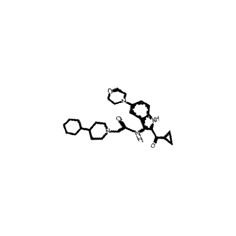 O=C(CN1CCC(C2CCCCC2)CC1)Nc1c(C(=O)C2CC2)[nH]c2ccc(N3CCOCC3)cc12